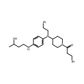 CC(C)C[CH]C(=O)N1CCC(N(CCC(C)C)c2ccc(NCCC(C)O)cc2)CC1